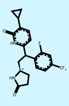 O=C1CC[C@H](CC(c2ccc(C3CC3)c(=O)[nH]2)c2ccc(C(F)(F)F)cc2F)N1